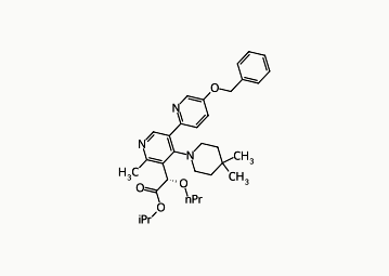 CCCO[C@H](C(=O)OC(C)C)c1c(C)ncc(-c2ccc(OCc3ccccc3)cn2)c1N1CCC(C)(C)CC1